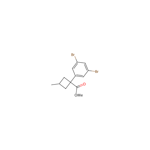 COC(=O)C1(c2cc(Br)cc(Br)c2)CC(C)C1